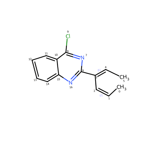 C/C=C\C(=C/C)c1nc(Cl)c2ccccc2n1